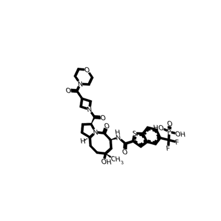 C[C@@]1(O)CC[C@H]2CC[C@@H](C(=O)N3CC(C(=O)N4CCOCC4)C3)N2C(=O)[C@@H](NC(=O)c2cc3cc(C(F)(F)P(=O)(O)O)ccc3s2)C1